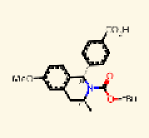 COc1ccc2c(c1)C[C@H](C)N(C(=O)OC(C)(C)C)[C@H]2c1ccc(C(=O)O)cc1